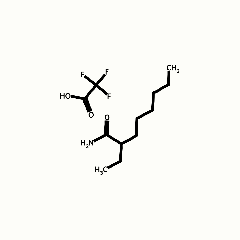 CCCCCCC(CC)C(N)=O.O=C(O)C(F)(F)F